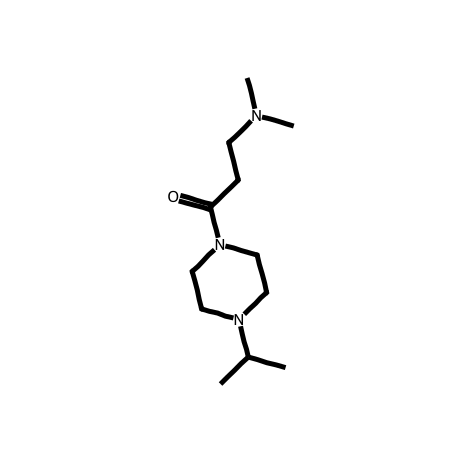 CC(C)N1CCN(C(=O)CCN(C)C)CC1